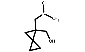 CN(C)CC1(CO)CC12CC2